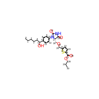 CCCCCC(O)c1ccc(N2C(=O)NC(=O)[C@@H]2COCc2ccc(C(=O)OCCC)s2)cc1